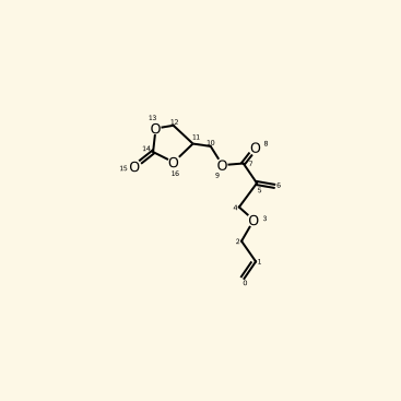 C=CCOCC(=C)C(=O)OCC1COC(=O)O1